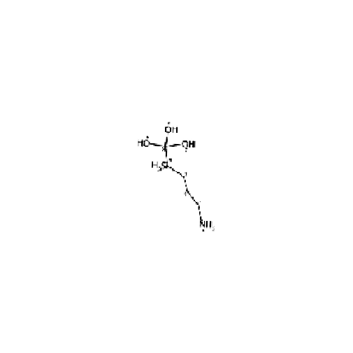 NCCC[SiH2]C(O)(O)O